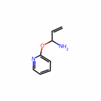 C=CC(N)Oc1ccccn1